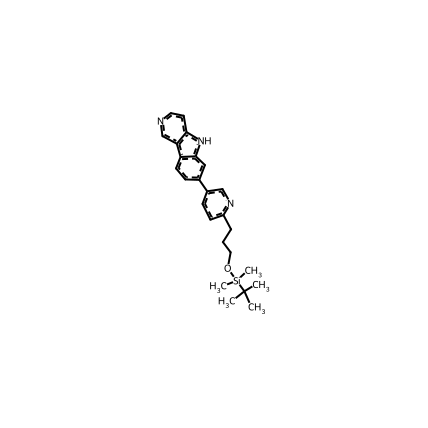 CC(C)(C)[Si](C)(C)OCCCc1ccc(-c2ccc3c(c2)[nH]c2ccncc23)cn1